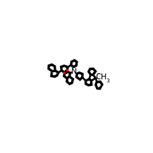 CC1(c2ccccc2)c2ccccc2-c2c(-c3ccc(N(c4ccccc4-c4ccc(-c5cccc6ccccc56)cc4)c4cccc5ccccc45)cc3)cccc21